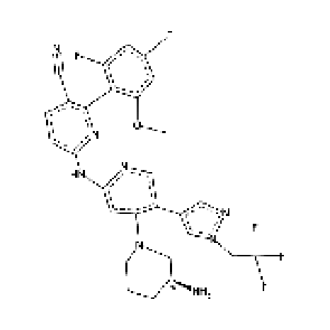 COc1cc(F)cc(F)c1-c1nc(Nc2cc(N3CCC[C@H](N)C3)c(-c3cnn(CC(F)(F)F)c3)cn2)ccc1C#N